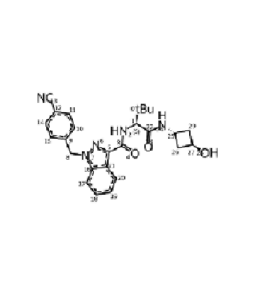 CC(C)(C)[C@H](NC(=O)c1nn(Cc2ccc(C#N)cc2)c2ccccc12)C(=O)N[C@H]1C[C@H](O)C1